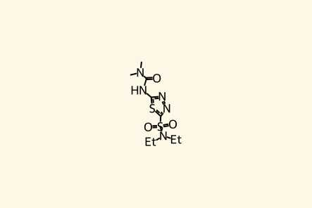 CCN(CC)S(=O)(=O)c1nnc(NC(=O)N(C)C)s1